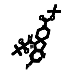 CC(C)(C)OC(=O)N1CCC2(CC1)Cc1ncc(F)cc1[C@H]2NS(=O)(=O)C(C)(C)C